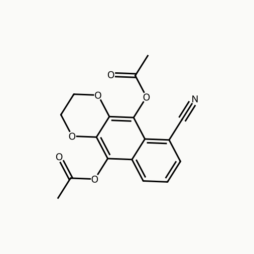 CC(=O)Oc1c2c(c(OC(C)=O)c3c(C#N)cccc13)OCCO2